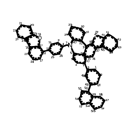 c1cc(-c2ccc(N(c3ccc(-c4cccc5c4oc4ccccc45)cc3)c3ccccc3-c3cccc4c3sc3ccccc34)cc2)cc(-c2cccc3ccccc23)c1